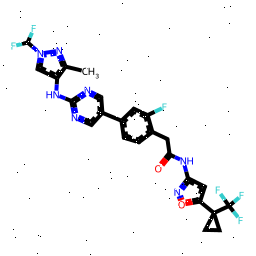 Cc1nn(C(F)F)cc1Nc1ncc(-c2ccc(CC(=O)Nc3cc(C4(C(F)(F)F)CC4)on3)c(F)c2)cn1